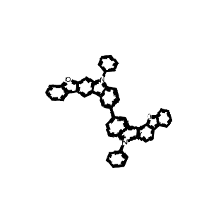 c1ccc(-n2c3ccc(-c4ccc5c(c4)c4c6oc7ccccc7c6ccc4n5-c4ccccc4)cc3c3cc4c(cc32)oc2ccccc24)cc1